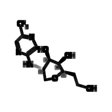 OCC[C@H]1OC[C@H](Nc2cnc(C(F)(F)F)cn2)[C@@H](O)[C@H]1O